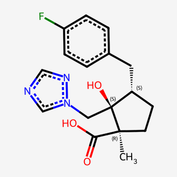 C[C@@]1(C(=O)O)CC[C@@H](Cc2ccc(F)cc2)[C@@]1(O)Cn1cncn1